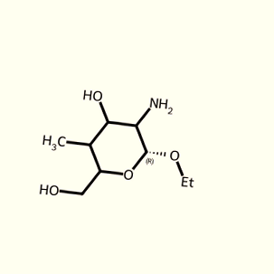 CCO[C@@H]1OC(CO)C(C)C(O)C1N